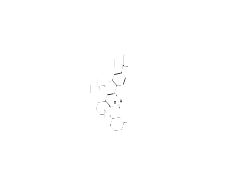 Cc1c(-c2ccc(C(F)(F)F)cc2O)nnc2c1CCCN2C1CCCC(O)C1